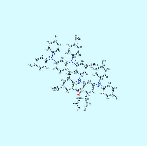 Cc1ccc(N(c2ccc(C)cc2)c2ccc3c(c2)N(c2ccc(C(C)(C)C)cc2)c2cc(C(C)(C)C)cc4c2B3c2cc(C(C)(C)C)ccc2N4c2cc(N(c3ccc(C)cc3)c3ccc(C)cc3)cc3c2oc2ccccc23)cc1